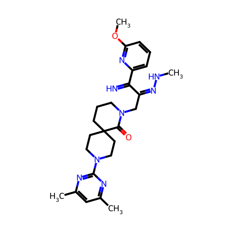 CN/N=C(/CN1CCCC2(CCN(c3nc(C)cc(C)n3)CC2)C1=O)C(=N)c1cccc(OC)n1